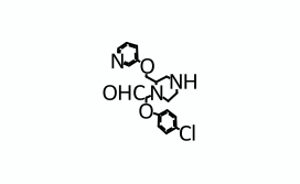 O=CC(Oc1ccc(Cl)cc1)N1CCNCC1COc1cccnc1